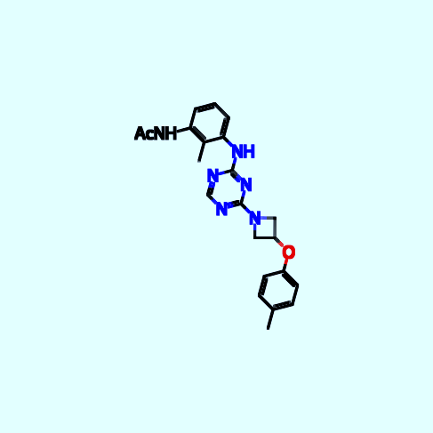 CC(=O)Nc1cccc(Nc2ncnc(N3CC(Oc4ccc(C)cc4)C3)n2)c1C